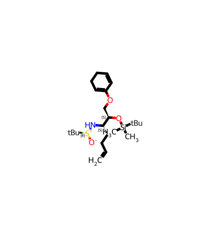 C=CCC[C@H](N[S@@+]([O-])C(C)(C)C)[C@@H](COC1=CCCC=C1)O[Si](C)(C)C(C)(C)C